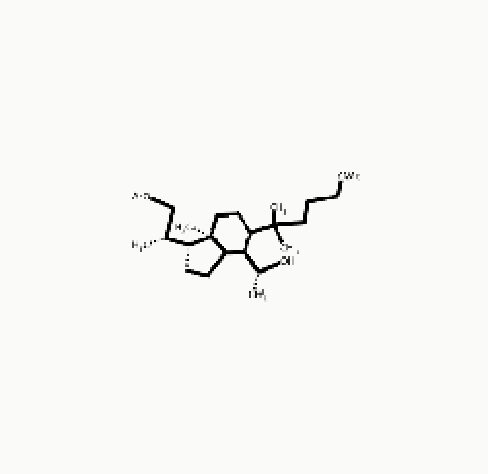 COCCCC(C)(C)C1CC[C@@]2(C)C(CC[C@@H]2[C@H](C)COC(C)=O)C1[C@@H](C)O